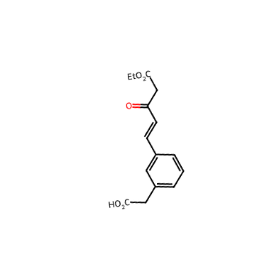 CCOC(=O)CC(=O)C=Cc1cccc(CC(=O)O)c1